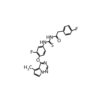 Cc1ccn2ncnc(Oc3ccc(NC(=S)NC(=O)Cc4ccc(F)cc4)cc3F)c12